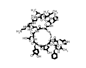 CCC(C)[C@H](NC(=O)[C@H](Cc1c[nH]cn1)NC(=O)[C@@H]1CSSC[C@H](NC(=O)[C@H](Cc2c[nH]cn2)NC(=O)[C@H](Cc2ccccc2)NC(C)=O)C(=O)N2CC(O)CC2C(=O)N[C@@H](Cc2ccc(O)c(Cl)c2)C(=O)N[C@@H](CC(=O)O)C(=O)N[C@@H](CC(C)C)C(=O)N1)C(=O)N[C@@H](CC(C)C)C(=O)NCC(=O)NCC(=O)NCCN